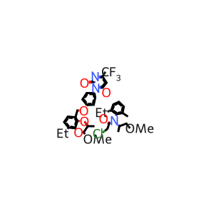 CCc1ccc(COc2ccc(-n3c(=O)cc(C(F)(F)F)n(C)c3=O)cc2)c(OC(C)C(=O)OC)c1.CCc1cccc(C)c1N(C(=O)CCl)C(C)COC